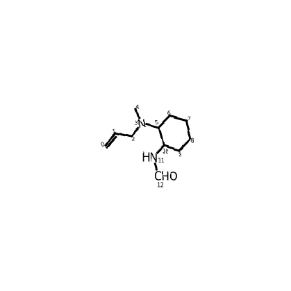 C=CCN(C)C1CCCCC1NC=O